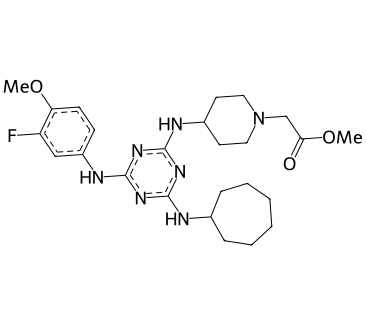 COC(=O)CN1CCC(Nc2nc(Nc3ccc(OC)c(F)c3)nc(NC3CCCCCC3)n2)CC1